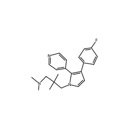 CN(C)CC(C)(C)Cn1ccc(-c2ccc(F)cc2)c1-c1ccncc1